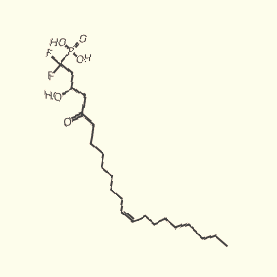 CCCCCCCC/C=C\CCCCCCCC(=O)C[C@@H](O)CC(F)(F)P(=O)(O)O